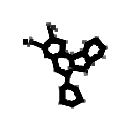 Cc1cc2cc(-c3ccccc3)n3nc4ccccc4c3c2cc1C